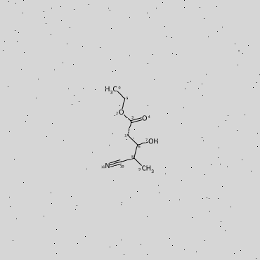 CCOC(=O)CC(O)C(C)C#N